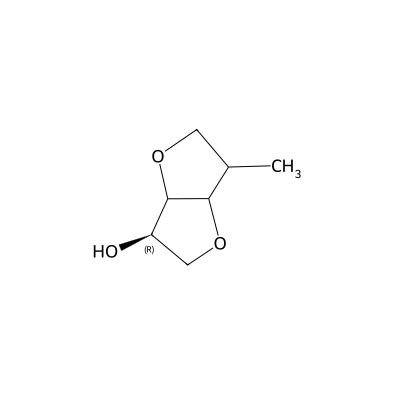 CC1COC2C1OC[C@H]2O